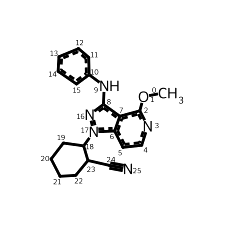 COc1nccc2c1c(Nc1ccccc1)nn2C1CCCCC1C#N